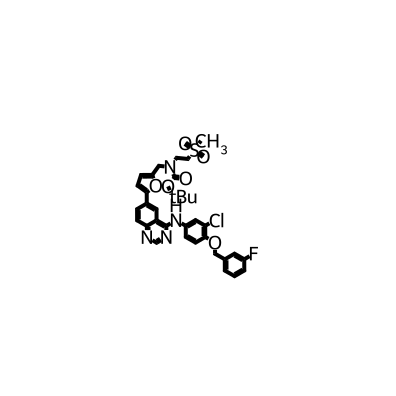 CC(C)(C)OC(=O)N(CCS(C)(=O)=O)Cc1ccc(-c2ccc3ncnc(Nc4ccc(OCc5cccc(F)c5)c(Cl)c4)c3c2)o1